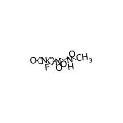 CCC(=O)NCC1CN(c2ccc(N3C=CC(=O)CC3)c(F)c2)C(=O)O1